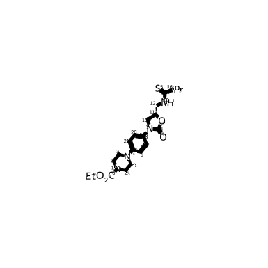 CCOC(=O)N1CCN(c2ccc(N3C[C@H](CNC(=S)C(C)C)OC3=O)cc2)CC1